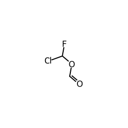 O=COC(F)Cl